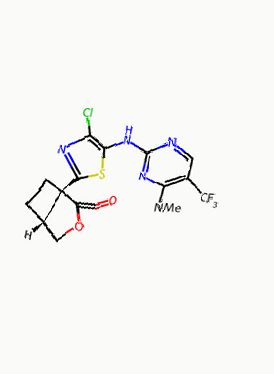 CNc1nc(Nc2sc([C@]34CC[C@H]3COC4=O)nc2Cl)ncc1C(F)(F)F